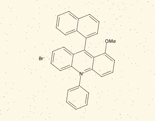 COc1cccc2c1c(-c1cccc3ccccc13)c1ccccc1[n+]2-c1ccccc1.[Br-]